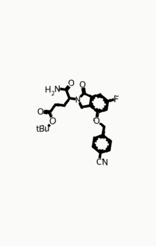 CC(C)(C)OC(=O)CCC(C(N)=O)N1Cc2c(OCc3ccc(C#N)cc3)cc(F)cc2C1=O